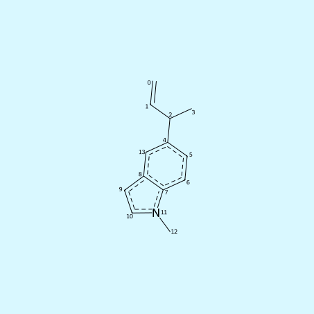 C=CC(C)c1ccc2c(ccn2C)c1